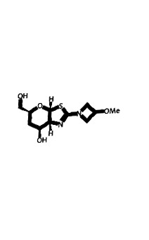 COC1CN(C2=N[C@H]3[C@H](O[C@H](CO)C[C@@H]3O)S2)C1